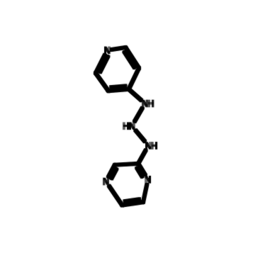 c1cc(NNNc2cnccn2)ccn1